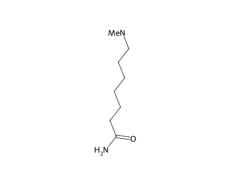 CNCCCCCCC(N)=O